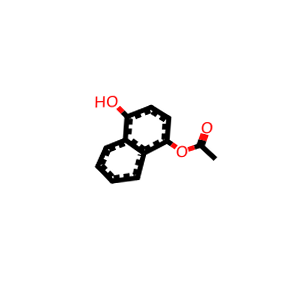 CC(=O)Oc1ccc(O)c2ccccc12